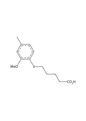 COc1cc(C)ccc1SCCCCC(=O)O